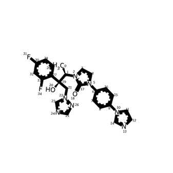 C[C@@H](n1ccn(-c2ccc(-n3ccnc3)cc2)c1=O)[C@](O)(Cn1cncn1)c1ccc(F)cc1F